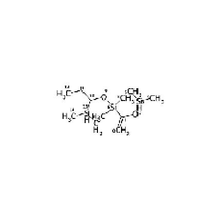 C=C(O[SiH](C)C)[Si](C)(C)OC(CC)[SiH](C)C